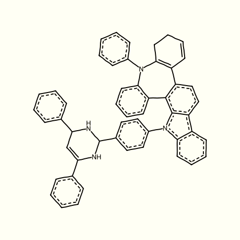 C1=CC2=C(CC1)N(c1ccccc1)c1ccccc1-c1c2ccc2c3ccccc3n(-c3ccc(C4NC(c5ccccc5)=CC(c5ccccc5)N4)cc3)c12